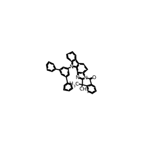 CC1(C)c2ccccc2C(=O)n2c1nc1c2ccc2c3ccccc3n(-c3cc(-c4ccccc4)cc(-c4ccccc4)c3)c21